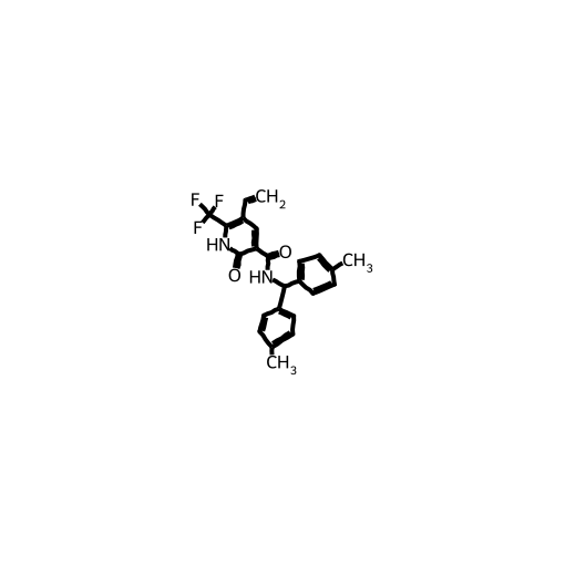 C=Cc1cc(C(=O)NC(c2ccc(C)cc2)c2ccc(C)cc2)c(=O)[nH]c1C(F)(F)F